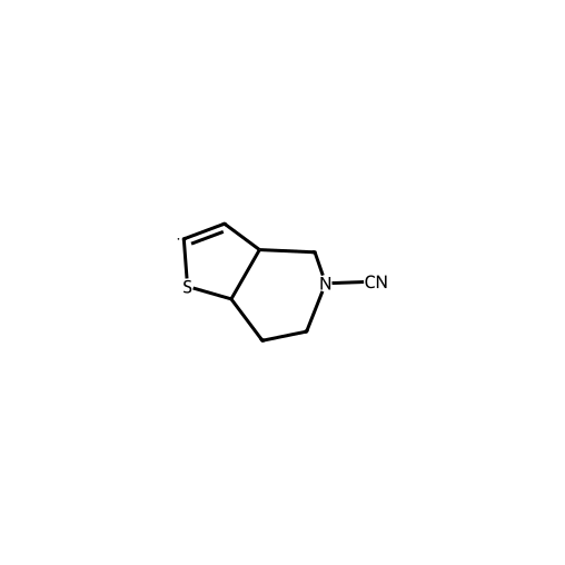 N#CN1CCC2S[C]=CC2C1